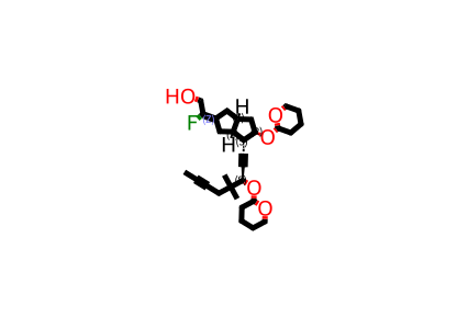 CC#CCC(C)(C)[C@@H](C#C[C@@H]1[C@H]2C/C(=C(\F)CO)C[C@H]2C[C@H]1OC1CCCCO1)OC1CCCCO1